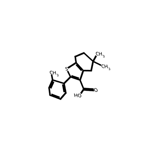 Cc1ccccc1-c1sc2c(c1C(=O)O)CC(C)(C)CC2